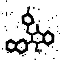 O=C(O)C1c2ccccc2C(=O)N(Cc2ccc(Cl)cc2)C1c1ccc2ccccc2c1